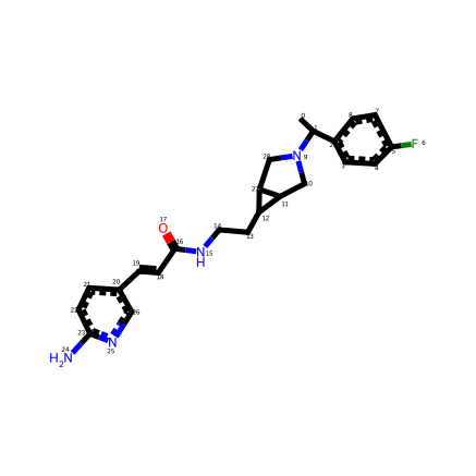 CC(c1ccc(F)cc1)N1CC2C(CCNC(=O)/C=C/c3ccc(N)nc3)C2C1